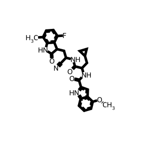 COc1cccc2[nH]c(C(=O)NC(CC3CC3)C(=O)NC(C#N)CC3C(=O)Nc4c(C)ccc(F)c43)cc12